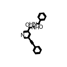 O=C(NNC(=O)c1cncc(C#Cc2ccccc2)c1)c1ccccc1